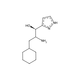 NC(CC1CCCCC1)[C@@H](O)c1cc[nH]n1